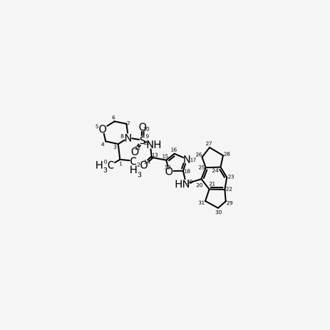 CC(C)C1COCCN1S(=O)(=O)NC(=O)c1cnc(Nc2c3c(cc4c2CCC4)CCC3)o1